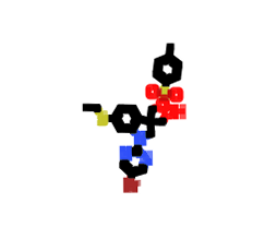 CCSc1ccc2c(c1)N(c1ncc(Br)cn1)CC2(CO)COS(=O)(=O)c1ccc(C)cc1